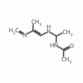 C=N/C(C)=C/NC(C)NC(C)=O